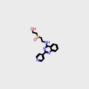 [O-][S+](CCO)CCNc1nc(-c2ccncc2)nc2ccccc12